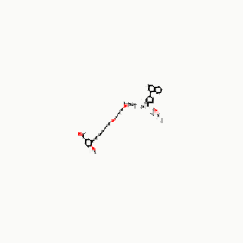 Cc1ncsc1-c1ccc(CNC=O)c(OCCOCCOCCOCCOCCN(C)C(=O)CCNc2nc(N3CCN(C(N)=O)CC3)c3cc(Cl)c(-c4cc(O)cc5ccccc45)c(F)c3n2)c1